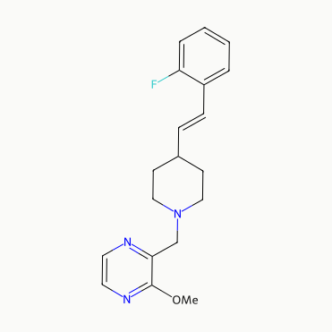 COc1nccnc1CN1CCC(C=Cc2ccccc2F)CC1